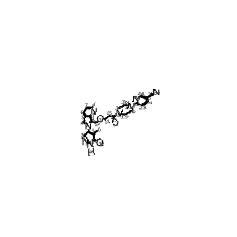 Cc1c(N2Cc3cccnc3[C@H]2COCCC(=O)N2CCN(c3ccc(C#N)cn3)CC2)cn[nH]c1=O